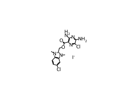 Cn1c(COC(=O)c2nc(Cl)c(N)nc2N)[n+](C)c2ccc(Cl)cc21.[I-]